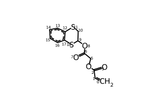 C=CC(=O)OCC(=O)OC1CSc2ccccc2S1